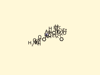 CCC(C)(C)CC(c1ccccc1)C(C)(CC)C(=O)C(C)(CC)CC(C(=O)Nc1cccc(NC(=O)/C(=N\Nc2cccc(C(=O)NCS(N)(=O)=O)c2)C(C)=O)c1)C(C)(C)CC